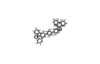 O=P(c1ccccc1)(c1ccccc1)c1ccc(-c2ccc(-c3ccc4oc5c6ccccc6c6ccccc6c5c4c3)cc2)cc1